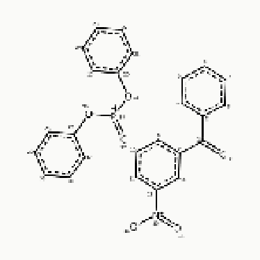 O=C(c1ccccc1)c1cccc([N+](=O)[O-])c1.O=[PH](Oc1ccccc1)Oc1ccccc1